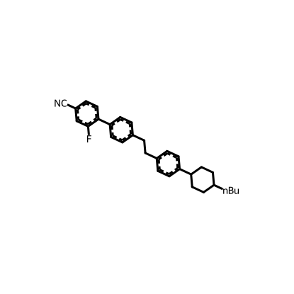 CCCCC1CCC(c2ccc(CCc3ccc(-c4ccc(C#N)cc4F)cc3)cc2)CC1